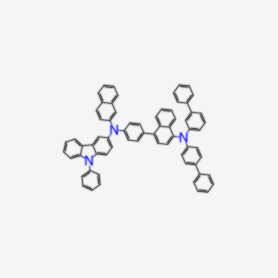 c1ccc(-c2ccc(N(c3cccc(-c4ccccc4)c3)c3ccc(-c4ccc(N(c5ccc6ccccc6c5)c5ccc6c(c5)c5ccccc5n6-c5ccccc5)cc4)c4ccccc34)cc2)cc1